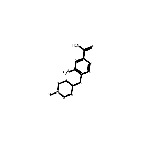 C=C(N)c1ccc(CC2CCN(C)CC2)c(C(F)(F)F)c1